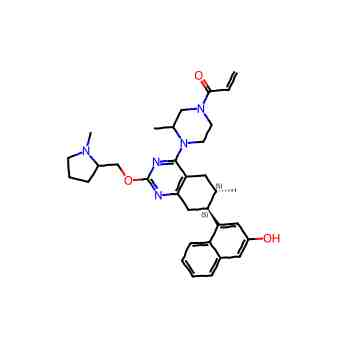 C=CC(=O)N1CCN(c2nc(OCC3CCCN3C)nc3c2C[C@H](C)[C@@H](c2cc(O)cc4ccccc24)C3)C(C)C1